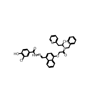 CC(Cc1ccccn1)N(Cc1ccccc1)C(=O)COc1ccc(/C=N/NC(=O)c2ccc(O)c(Cl)c2)c2ccccc12